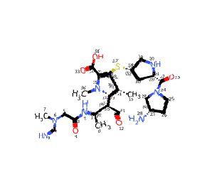 C[C@@H](NC(=O)CN(C)C=N)[C@H](C=O)[C@H]1[C@@H](C)C(S[C@@H]2CN[C@H](C(=O)N3CC[C@H](N)C3)C2)=C(C(=O)O)N1C